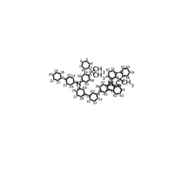 CC1(C)c2ccccc2-c2cc(N(c3ccc(-c4ccccc4)cc3)c3cccc(-c4cccc(-c5ccc6c(c5)c5ccccc5n6-c5cccc6c5C(C)(C)c5ccccc5-6)c4)c3)ccc21